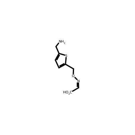 NCc1ccc(CO/N=C\C(=O)O)s1